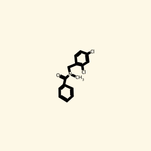 CN(Cc1ccc(Cl)cc1Cl)C(=O)c1ccccc1